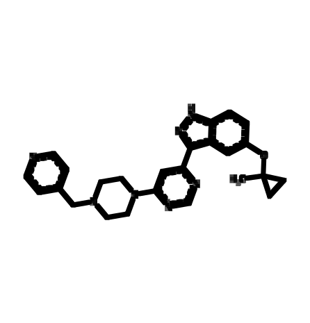 CC1(Oc2ccc3[nH]nc(-c4cc(N5CCN(Cc6ccncc6)CC5)ncn4)c3c2)CC1